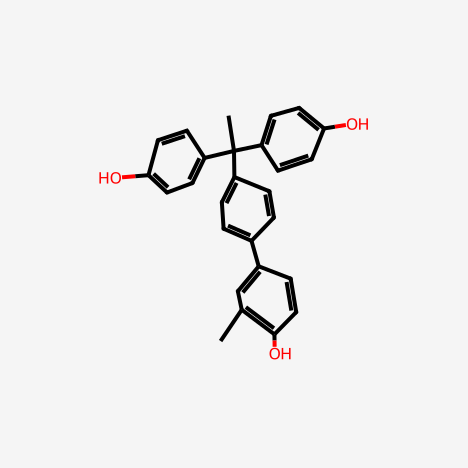 Cc1cc(-c2ccc(C(C)(c3ccc(O)cc3)c3ccc(O)cc3)cc2)ccc1O